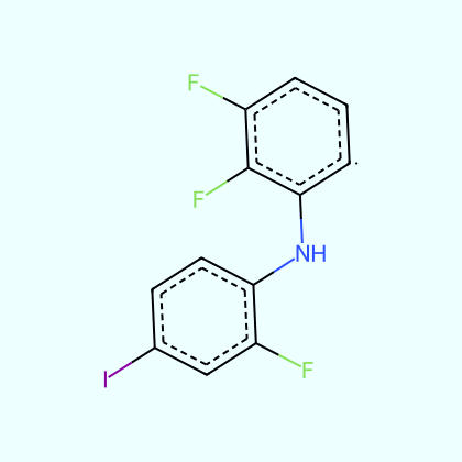 Fc1cc(I)ccc1Nc1[c]ccc(F)c1F